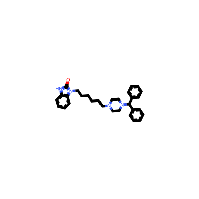 O=c1[nH]c2ccccc2n1CCCCCCN1CCN(C(c2ccccc2)c2ccccc2)CC1